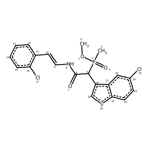 COP(C)(=O)C(C(=O)N/C=C/c1ccccc1Cl)c1csc2ccc(Cl)cc12